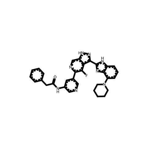 O=C(Cc1ccccc1)Nc1cncc(-c2ncc3[nH]nc(-c4nc5c(N6CCCCC6)cccc5[nH]4)c3c2F)c1